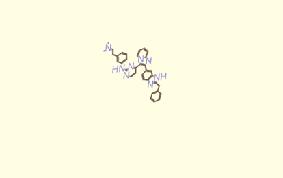 CN(C)CCc1cccc(Nc2nccc(-c3c(-c4ccc5nc(Cc6ccccc6)[nH]c5c4)nc4ccccn34)n2)c1